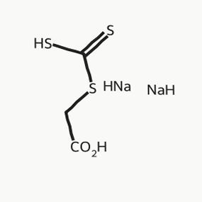 O=C(O)CSC(=S)S.[NaH].[NaH]